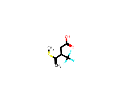 C=C(SC)C(CC(=O)O)C(F)(F)F